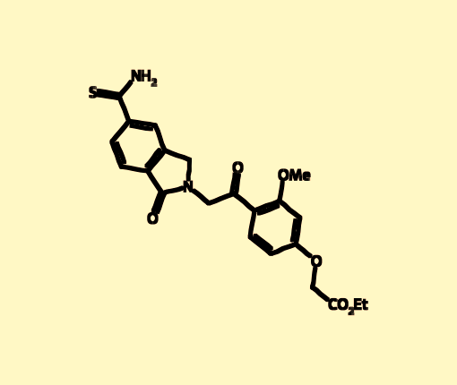 CCOC(=O)COc1ccc(C(=O)CN2Cc3cc(C(N)=S)ccc3C2=O)c(OC)c1